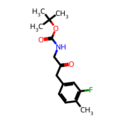 Cc1ccc(CC(=O)CNC(=O)OC(C)(C)C)cc1F